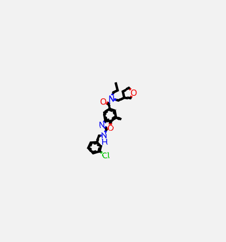 CCCN(CC1CCOC1)C(=O)c1cc(C)c2oc(NCc3cccc(Cl)c3)nc2c1